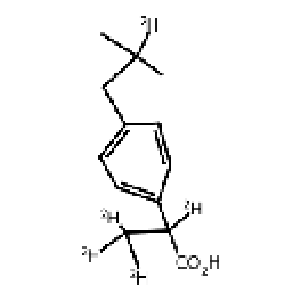 [2H]C(C)(C)Cc1ccc(C([2H])(C(=O)O)C([2H])([2H])[2H])cc1